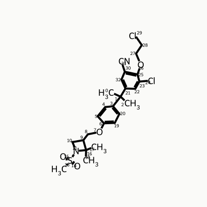 CC(C)(c1ccc(OCC2CN(S(C)(=O)=O)C2(C)C)cc1)c1cc(Cl)c(OCCCl)c(C#N)c1